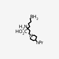 BCCCCC(N)(CCN1CCC(CCC)CC1)C(=O)O